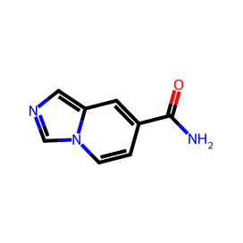 NC(=O)c1ccn2cncc2c1